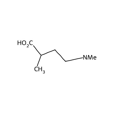 CNCCC(C)C(=O)O